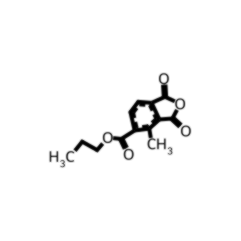 CCCOC(=O)c1ccc2c(c1C)C(=O)OC2=O